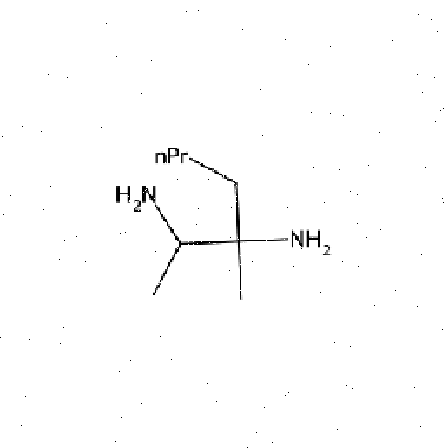 CCCCC(C)(N)C(C)N